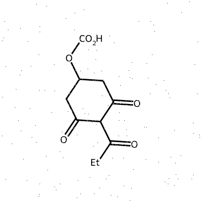 CCC(=O)C1C(=O)CC(OC(=O)O)CC1=O